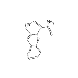 NC(=O)C1=CNCc2cc3ccccc3nc21